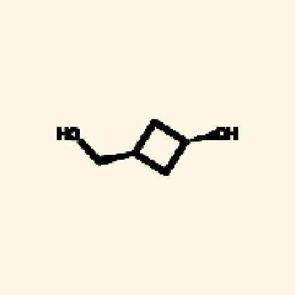 OC[C@H]1C[C@H](O)C1